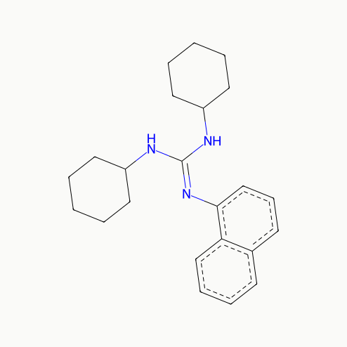 c1ccc2c(N=C(NC3CCCCC3)NC3CCCCC3)cccc2c1